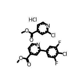 COC(=O)c1ccnc(-c2cc(F)c(Cl)c(F)c2)c1.COC(=O)c1ccnc(Cl)c1.Cl